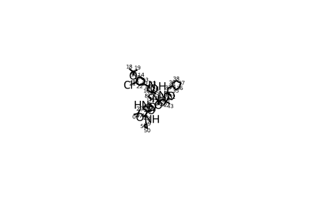 CCC[C@H](NC(=O)[C@@H]1C[C@]2(CC(c3ccc(OC(C)C)c(Cl)c3)=NO2)CN1C(=O)[C@@H](NC(=O)CC1CCCCC1)C(C)(C)C)C(=O)C(=O)NC1CC1